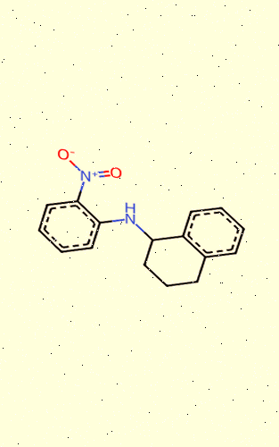 O=[N+]([O-])c1ccccc1NC1CCCc2ccccc21